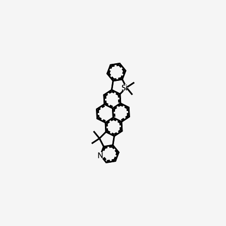 CC1(C)c2ncccc2-c2cc3ccc4c5c(cc6ccc(c21)c3c64)-c1ccccc1[Si]5(C)C